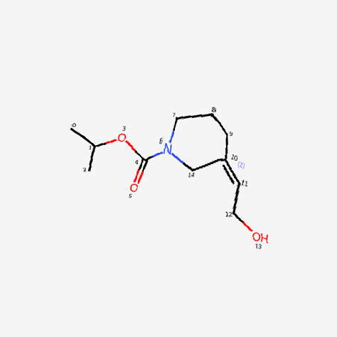 CC(C)OC(=O)N1CCC/C(=C/CO)C1